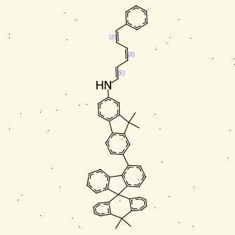 CC1(C)c2cc(N/C=C/C=C\C=C/c3ccccc3)ccc2-c2ccc(-c3cccc4c3-c3ccccc3C43c4ccccc4C(C)(C)c4ccccc43)cc21